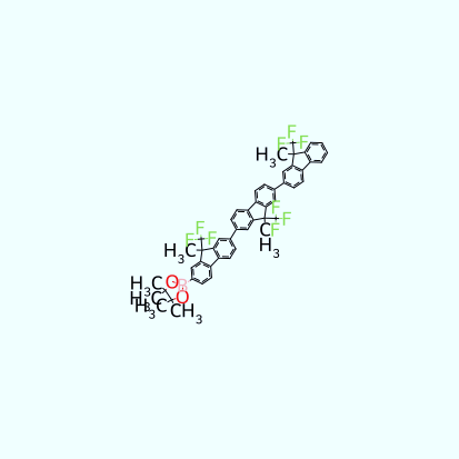 CC1(C)OB(c2ccc3c(c2)C(C)(C(F)(F)F)c2cc(-c4ccc5c(c4)C(C)(C(F)(F)F)c4cc(-c6ccc7c(c6)C(C)(C(F)(F)F)c6ccccc6-7)ccc4-5)ccc2-3)OC1(C)C